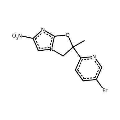 CC1(c2ccc(Br)cn2)Cn2cc([N+](=O)[O-])nc2O1